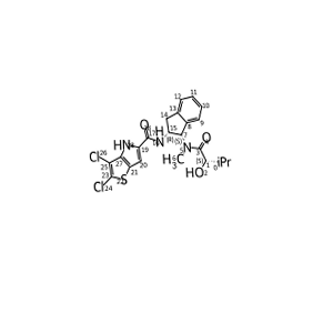 CC(C)[C@H](O)C(=O)N(C)[C@H]1c2ccccc2C[C@H]1NC(=O)c1cc2sc(Cl)c(Cl)c2[nH]1